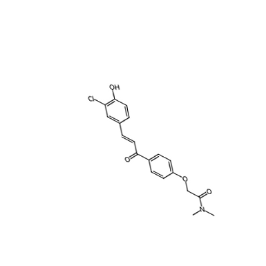 CN(C)C(=O)COc1ccc(C(=O)C=Cc2ccc(O)c(Cl)c2)cc1